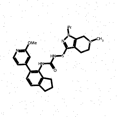 COc1cc(-c2ccc3c(c2NC(=O)NSc2nn(C(C)C)c4c2CCN(C)C4)CCC3)ccn1